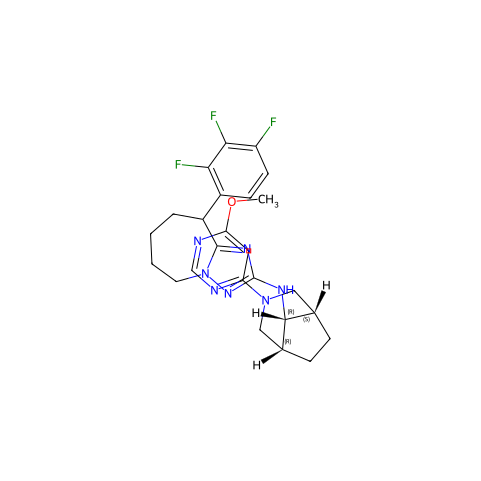 COc1cc(N2C[C@H]3CC[C@@H](C2)[C@H]3Nc2nc3n(n2)CCCCC3c2ccc(F)c(F)c2F)ncn1